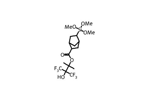 CO[Si](OC)(OC)C1CC2CC1CC2C(=O)OC(C)(C)C(O)(C(F)(F)F)C(F)(F)F